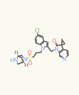 O=C1N(Cc2cc3cc(Cl)ccc3n2CCCS(=O)(=O)N2C[C@H]3C[C@@H]2CN3)c2cnccc2C12CC2